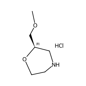 COC[C@H]1CNCCO1.Cl